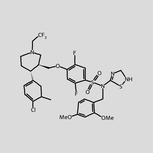 COc1ccc(CN(C2=NCNS2)S(=O)(=O)c2cc(F)c(OC[C@@H]3CN(CC(F)(F)F)CC[C@H]3C3=CC=C(Cl)C(C)C3)cc2F)c(OC)c1